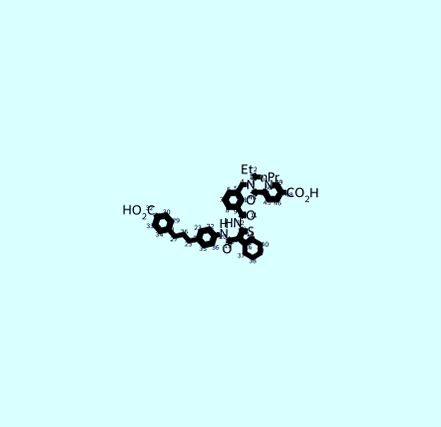 CCCC(CC)N(Cc1cccc(C(=O)Nc2sc3c(c2C(=O)Nc2ccc(CCCc4ccc(C(=O)O)cc4)cc2)CCCC3)c1)C(=O)c1ccc(C(=O)O)cn1